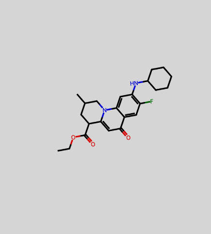 CCOC(=O)C1CC(C)Cn2c1cc(=O)c1cc(F)c(NC3CCCCC3)cc12